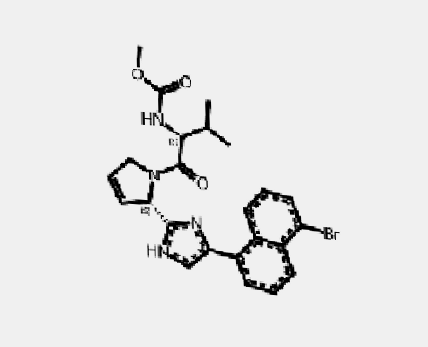 COC(=O)N[C@H](C(=O)N1CC=C[C@H]1c1nc(-c2cccc3c(Br)cccc23)c[nH]1)C(C)C